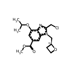 COC(=O)c1cc(OC(C)C)c2nc(CCl)n(C[C@@H]3CCO3)c2c1